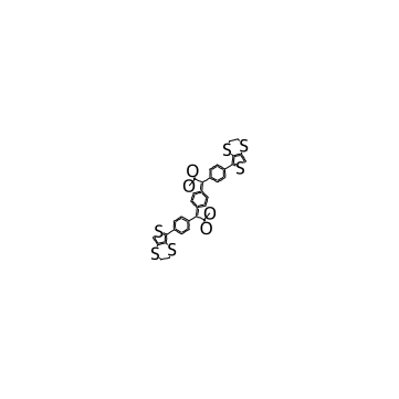 O=C1Oc2cc3c(cc2=C1c1ccc(-c2scc4c2SCCS4)cc1)OC(=O)C=3c1ccc(-c2scc3c2SCCS3)cc1